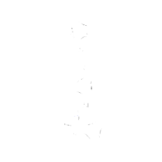 O=C1Nc2cccc(F)c2/C1=C\Nc1ccc(N2CCN(c3ncccn3)CC2)cc1